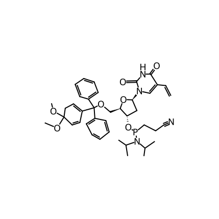 C=Cc1cn([C@H]2C[C@H](OP(CCC#N)N(C(C)C)C(C)C)[C@@H](COC(C3=CCC(OC)(OC)C=C3)(c3ccccc3)c3ccccc3)O2)c(=O)[nH]c1=O